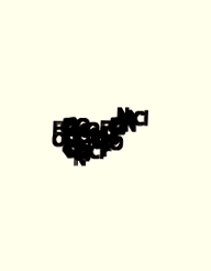 O=C(Oc1ccc(F)c(C(=O)c2ccc3ncc(Cl)nc3c2)c1F)Oc1ccc(F)c(C(=O)c2ccc3ncc(Cl)nc3c2)c1F